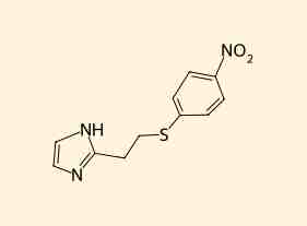 O=[N+]([O-])c1ccc(SCCc2ncc[nH]2)cc1